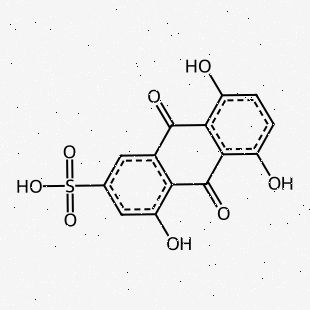 O=C1c2cc(S(=O)(=O)O)cc(O)c2C(=O)c2c(O)ccc(O)c21